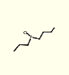 CCCCP(Cl)CCC